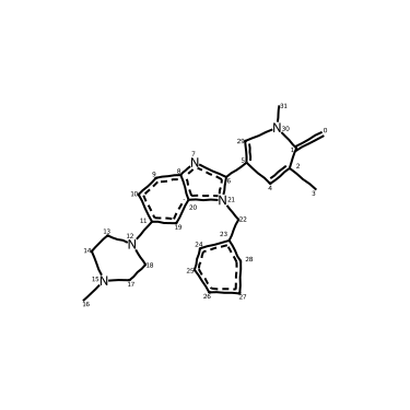 C=C1C(C)=CC(c2nc3ccc(N4CCN(C)CC4)cc3n2Cc2ccccc2)=CN1C